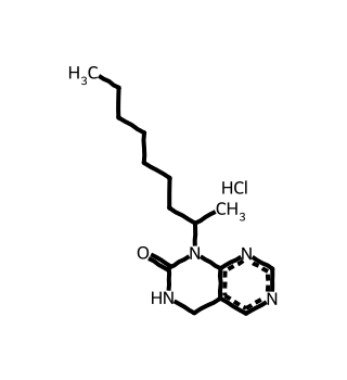 CCCCCCCC(C)N1C(=O)NCc2cncnc21.Cl